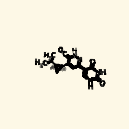 CC(C)[C@H]1C[C@@H]1C1=CC(c2c[nH]c(=O)[nH]c2=O)=NNC1=C=O